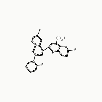 O=C(O)c1cc(-c2cc(-c3ccccc3F)nc3ccc(F)cc23)nc2ccc(F)cc12